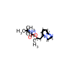 C[C@H](Cc1cccc2nccn12)OC(=O)NC(C)(C)C